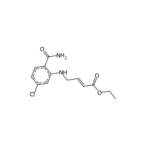 CCOC(=O)C=CCNc1cc(Cl)ccc1C(N)=O